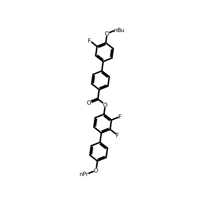 CCCCOc1ccc(-c2ccc(C(=O)Oc3ccc(-c4ccc(OCCC)cc4)c(F)c3F)cc2)cc1F